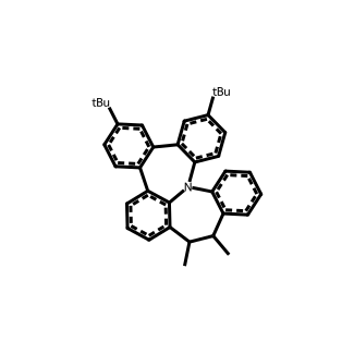 CC1c2ccccc2N2c3ccc(C(C)(C)C)cc3-c3cc(C(C)(C)C)ccc3-c3cccc(c32)C1C